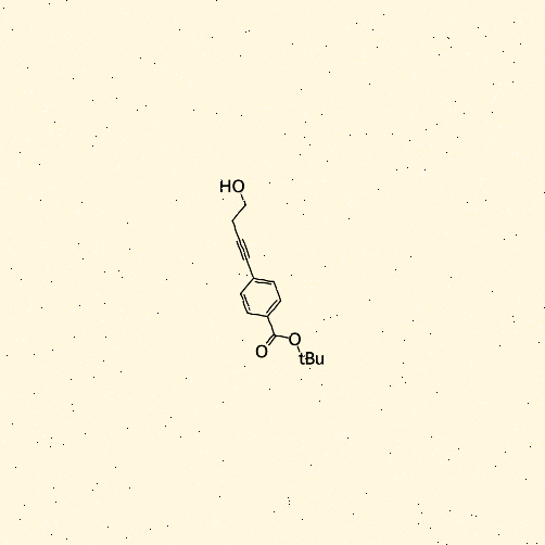 CC(C)(C)OC(=O)c1ccc(C#CCCO)cc1